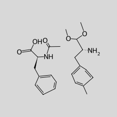 CC(=O)N[C@@H](Cc1ccccc1)C(=O)O.COC(OC)[C@H](N)Cc1ccc(C)cc1